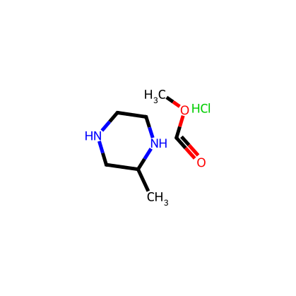 CC1CNCCN1.COC=O.Cl